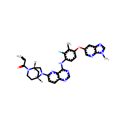 C=CC(=O)N1CC[C@@H]2C[C@H]1CN2c1ccc2ncnc(Nc3ccc(Oc4cnc5c(c4)ncn5C)c(C)c3F)c2n1